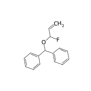 C=CC(F)OC(c1ccccc1)c1ccccc1